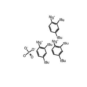 CC(C)(C)c1cc[c]([Mg+])c(C(C)(C)C)c1.CC(C)(C)c1cc[c]([Mg+])c(C(C)(C)C)c1.CC(C)(C)c1cc[c]([Mg+])c(C(C)(C)C)c1.O=P([O-])([O-])[O-]